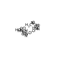 Cc1cc(CC(=O)N2CCC[C@H]2c2ncc(-c3ccc(-c4ccc(-c5cnc([C@@H]6CCCN6C(=O)[C@H](NC(=O)O)c6ccccc6)[nH]5)cc4)cc3)[nH]2)on1